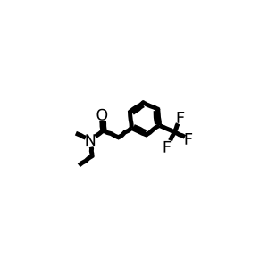 CCN(C)C(=O)Cc1cccc(C(F)(F)F)c1